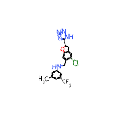 Cc1cc(NCc2cc3oc(-c4nnn[nH]4)cc3cc2Cl)cc(C(F)(F)F)c1